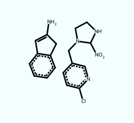 NC1=Cc2ccccc2C1.O=[N+]([O-])C1NCCN1Cc1ccc(Cl)nc1